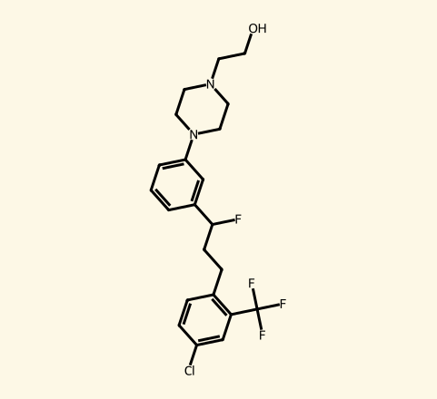 OCCN1CCN(c2cccc(C(F)CCc3ccc(Cl)cc3C(F)(F)F)c2)CC1